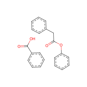 O=C(Cc1ccccc1)Oc1ccccc1.O=C(O)c1ccccc1